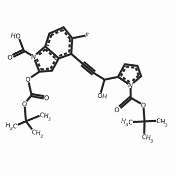 CC(C)(C)OC(=O)Oc1cc2c(C#CC(O)c3cccn3C(=O)OC(C)(C)C)c(F)ccc2n1C(=O)O